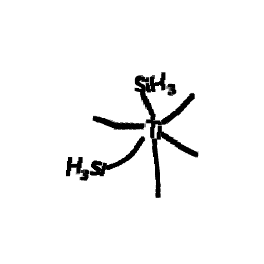 [CH3][Ti]([CH3])([CH3])([CH3])([SiH3])[SiH3]